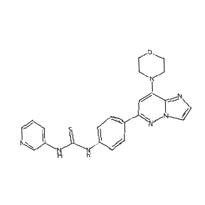 S=C(Nc1ccc(-c2cc(N3CCOCC3)c3nccn3n2)cc1)Nc1cccnc1